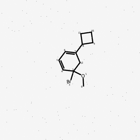 COC1(Br)C=CC=C(C2CCC2)C1